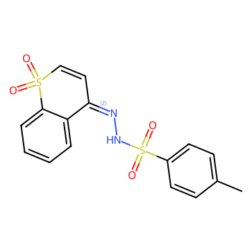 Cc1ccc(S(=O)(=O)N/N=C2/C=CS(=O)(=O)c3ccccc32)cc1